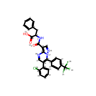 O=C(NC(Cc1ccccc1)C(=O)O)c1cnn2c(-c3ccc(C(F)(F)F)cc3)c(-c3ccccc3Cl)cnc12